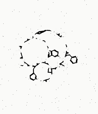 COc1ccc(C[C@@H]2NC(=O)[C@H]([C@@H](C)O)NC(=O)[C@@H]3[C@@H]4CCN3C(=O)[C@@H]3Cc5cn(c6ccc(F)cc56)CCCCCCN(Cc5ccc(cc5)CCNC(=O)[C@H](C)CCCNC2=O)C(=O)CCC(=O)N[C@@H](C)C(=O)N[C@H](CN)C(=O)N[C@@H](Cc2cccc(c2)CNC(=O)CO4)C(=O)N3)cc1